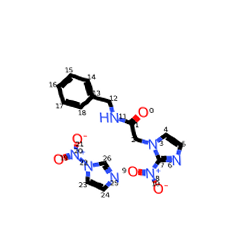 O=C(Cn1ccnc1[N+](=O)[O-])NCc1ccccc1.O=[N+]([O-])n1ccnc1